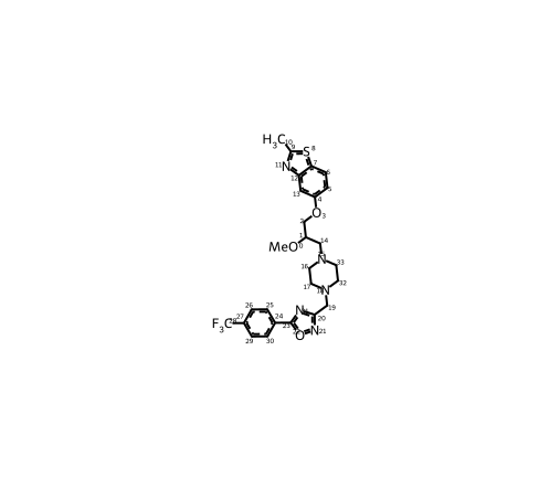 COC(COc1ccc2sc(C)nc2c1)CN1CCN(Cc2noc(-c3ccc(C(F)(F)F)cc3)n2)CC1